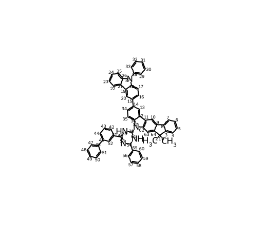 CC1(C)c2ccccc2-c2cc3c4cc(-c5ccc6c(c5)c5ccccc5n6-c5ccccc5)ccc4n(C4NC(c5cccc(-c6ccccc6)c5)=NC(c5ccccc5)N4)c3cc21